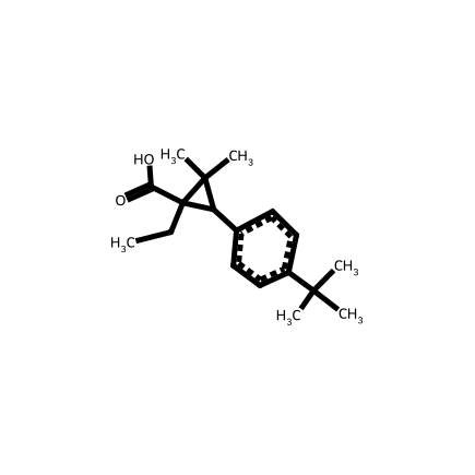 CCC1(C(=O)O)C(c2ccc(C(C)(C)C)cc2)C1(C)C